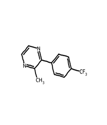 Cc1nccnc1-c1ccc(C(F)(F)F)cc1